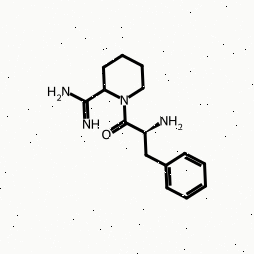 N=C(N)C1CCCCN1C(=O)[C@@H](N)Cc1ccccc1